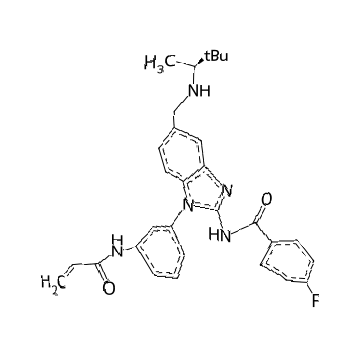 C=CC(=O)Nc1cccc(-n2c(NC(=O)c3ccc(F)cc3)nc3cc(CN[C@@H](C)C(C)(C)C)ccc32)c1